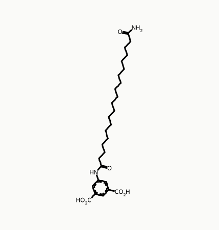 NC(=O)CCCCCCCCCCCCCCCCCCC(=O)Nc1cc(C(=O)O)cc(C(=O)O)c1